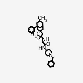 CC1CC2CC(C)(CC(=O)NCC(=O)NC3CCN(Cc4ccccc4)CC3)CC(c3ccccc3)(C1)C2